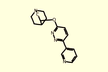 c1cncc(-c2ccc(OC3CN4CCC3CC4)nn2)c1